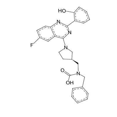 O=C(O)N(Cc1ccccc1)C[C@H]1CCN(c2nc(-c3ccccc3O)nc3ccc(F)cc23)C1